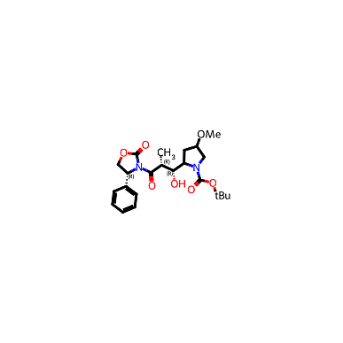 COC1CC([C@H](O)[C@@H](C)C(=O)N2C(=O)OC[C@H]2c2ccccc2)N(C(=O)OC(C)(C)C)C1